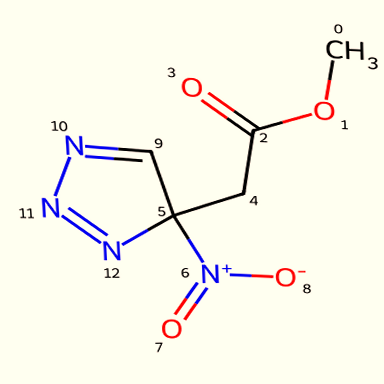 COC(=O)CC1([N+](=O)[O-])C=NN=N1